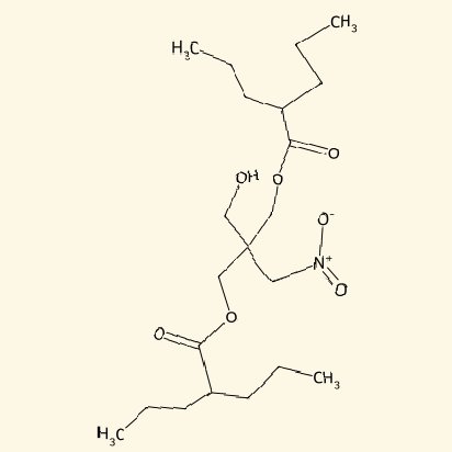 CCCC(CCC)C(=O)OCC(CO)(COC(=O)C(CCC)CCC)C[N+](=O)[O-]